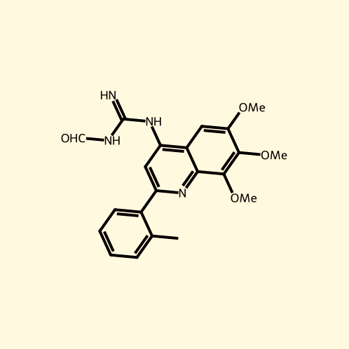 COc1cc2c(NC(=N)NC=O)cc(-c3ccccc3C)nc2c(OC)c1OC